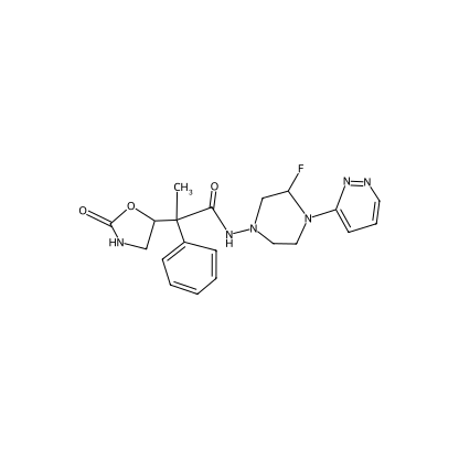 CC(C(=O)NN1CCN(c2cccnn2)C(F)C1)(c1ccccc1)C1CNC(=O)O1